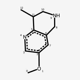 COc1cnc2c(c1)CNCC2C